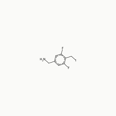 NCc1cc(F)c(CI)c(F)c1